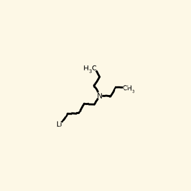 [Li][CH2]CCCN(CCC)CCC